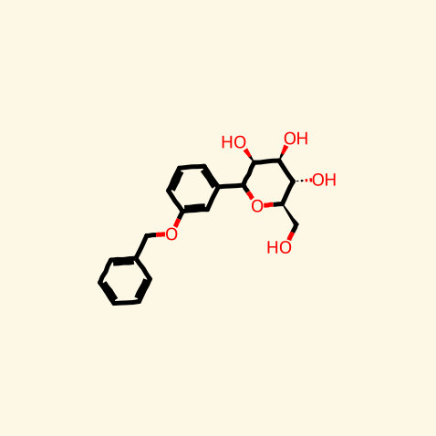 OC[C@H]1OC(c2cccc(OCc3ccccc3)c2)[C@@H](O)[C@@H](O)[C@@H]1O